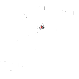 COC1CCC2(CC1)Cc1ccc(-c3cccc(C(F)(F)F)c3)cc1C21N=C(N)N(C)O1